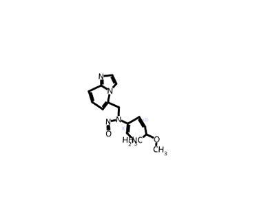 COC(C)/C=C\C(=C/N)N(Cc1cccc2nccn12)N=O